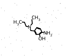 CCCN(CCC)Cc1ccc(N)c(O)c1